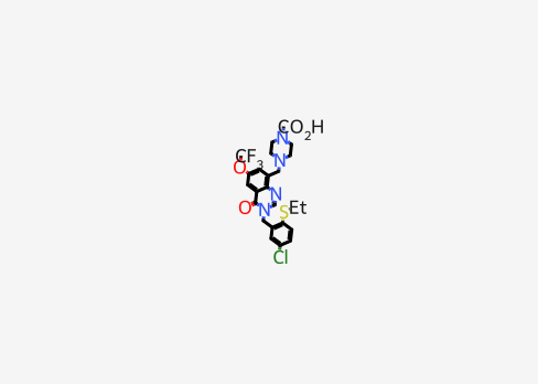 CCSc1ccc(Cl)cc1Cn1cnc2c(CN3CCN(C(=O)O)CC3)cc(OC(F)(F)F)cc2c1=O